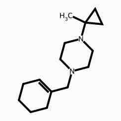 CC1(N2CCN(CC3=CCCCC3)CC2)CC1